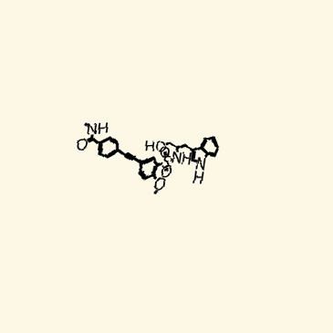 CNC(=O)c1ccc(C#Cc2ccc(OC)c(S(=O)(=O)N[C@@H](CO)Cc3c[nH]c4ccccc34)c2)cc1